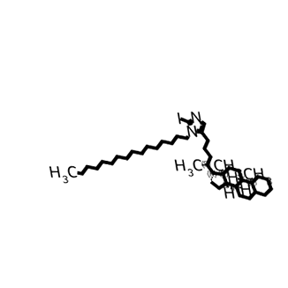 CCCCCCCCCCCCCCCCn1c(CCC[C@@H](C)[C@H]2CC[C@H]3[C@@H]4CCC5CCCC[C@]5(C)[C@H]4CC[C@]23C)cnc1I